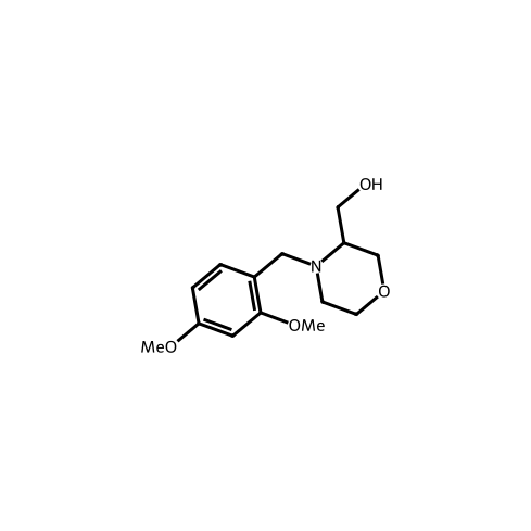 COc1ccc(CN2CCOCC2CO)c(OC)c1